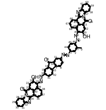 Cc1cc(N=Nc2ccc3c(c2)C(=O)c2cc(N=Nc4c(O)cc5c(=O)n6c7ccccc7nc6c6cccc4c56)ccc2-3)ccc1N=Nc1c(O)cc2c(=O)n3c4ccccc4nc3c3cccc1c23